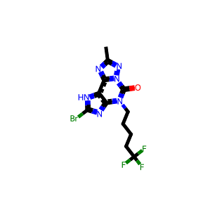 Cc1nc2c3[nH]c(Br)nc3n(CCCCC(F)(F)F)c(=O)n2n1